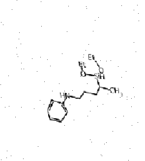 CCO[SiH](OCC)C(C)CCCNc1ccccc1